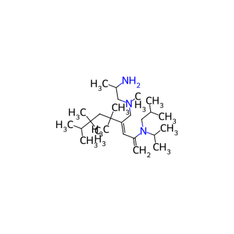 C=C(/C=C(\CN(C)CC(C)N)C(C)(C)CC(C)(C)C(C)C)N(CC(C)C)C(C)C